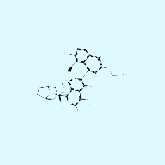 C#Cc1c(F)ccc2cc(OCOC)cc(-c3ncc4c(N5CC6CCC(C5)N6C(=O)OC(C)(C)C)nc(C)c(Cl)c4c3F)c12